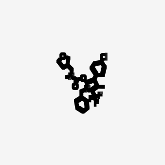 Cc1c(-c2ccc(Cl)cc2)c(OC(=O)N(C)CC2CCOC2)n(Cc2ccccc2)c1C(F)(F)F